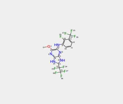 COc1nc2c(nc1Nc1cccc(C(F)(F)F)c1F)NC(C(F)(F)C(F)(F)F)N2